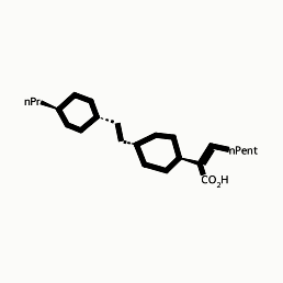 CCCCCC=C(C(=O)O)[C@H]1CC[C@H](CC[C@H]2CC[C@H](CCC)CC2)CC1